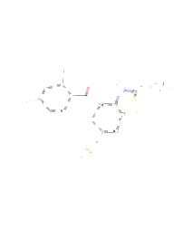 COc1nc2c(C(=O)c3c(C)cc(C)cc3C)cc(Cl)c(C)c2s1.P